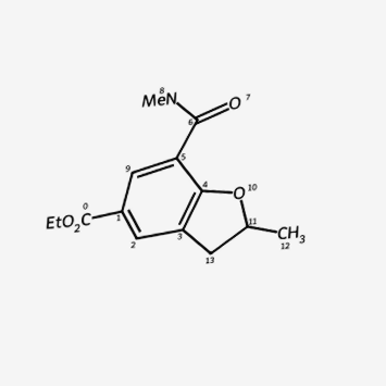 CCOC(=O)c1cc2c(c(C(=O)NC)c1)OC(C)C2